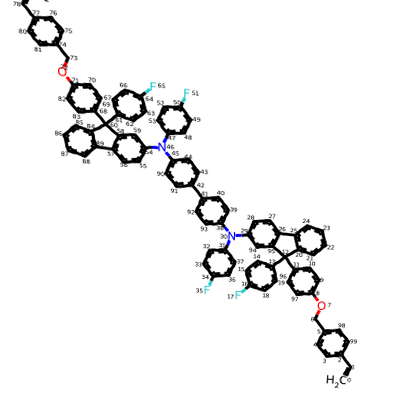 C=Cc1ccc(COc2ccc(C3(c4ccc(F)cc4)c4ccccc4-c4ccc(N(c5ccc(F)cc5)c5ccc(-c6ccc(N(c7ccc(F)cc7)c7ccc8c(c7)C(c7ccc(F)cc7)(c7ccc(OCc9ccc(C=C)cc9)cc7)c7ccccc7-8)cc6)cc5)cc43)cc2)cc1